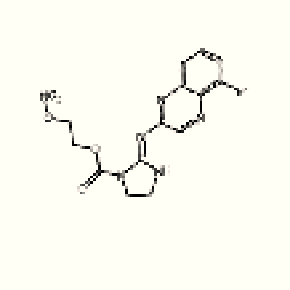 O=C(OCCO[N+](=O)[O-])N1CCNC1=Nc1cnc2c(Br)cccc2n1